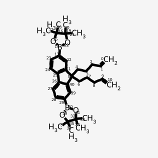 C=CCCCC1(CCCC=C)c2cc(B3OC(C)(C)C(C)(C)O3)ccc2-c2ccc(B3OC(C)(C)C(C)(C)O3)cc21